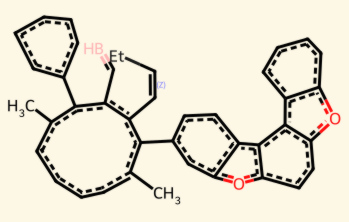 B=Cc1c(/C=C\CC)c(-c2ccc3c(c2)oc2ccc4oc5ccccc5c4c23)c(C)ccccc(C)c1-c1ccccc1